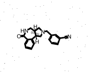 N#Cc1cccc(CN2C[C@@H]3CNC(=O)c4ccccc4[C@H]3C2)c1